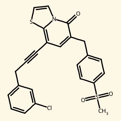 CS(=O)(=O)c1ccc(Cc2cc(C#CCc3cccc(Cl)c3)c3sccn3c2=O)cc1